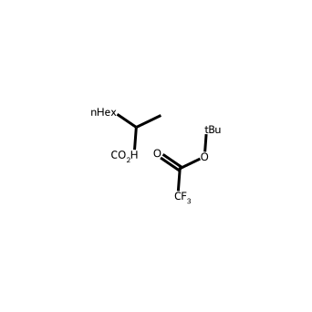 CC(C)(C)OC(=O)C(F)(F)F.CCCCCCC(C)C(=O)O